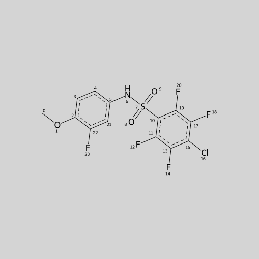 COc1ccc(NS(=O)(=O)c2c(F)c(F)c(Cl)c(F)c2F)cc1F